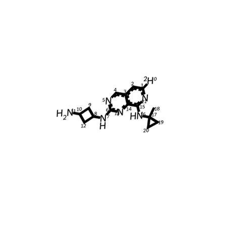 [2H]c1cc2cnc(NC3CC(N)C3)nc2c(NC2(C)CC2)n1